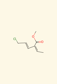 CC=C(C=CCCl)C(=O)OC